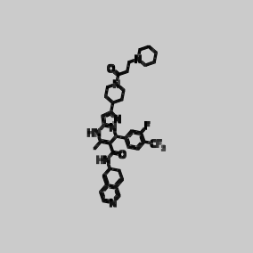 CC1=C(C(=O)NC2C=c3ccncc3=CC2)C(c2ccc(C(F)(F)F)c(F)c2)n2nc(C3CCN(C(=O)CCN4CCCCC4)CC3)cc2N1